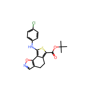 CC(C)(C)OC(=O)c1sc(Nc2ccc(Cl)cc2)c2c1CCc1cnoc1-2